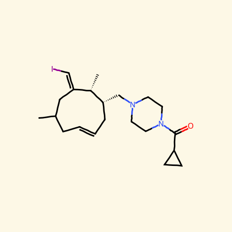 CC1C/C=C/C[C@@H](CN2CCN(C(=O)C3CC3)CC2)[C@@H](C)/C(=C/I)C1